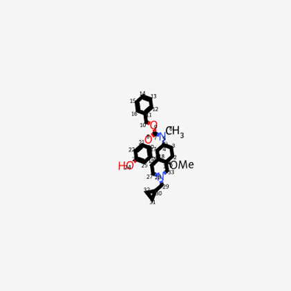 CO[C@]12CC[C@H](N(C)C(=O)OCc3ccccc3)C[C@]1(c1cccc(O)c1)CCN(CC1CC1)C2